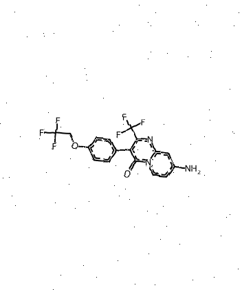 Nc1ccn2c(=O)c(-c3ccc(OCC(F)(F)F)cc3)c(C(F)(F)F)nc2c1